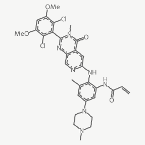 C=CC(=O)Nc1cc(N2CCN(C)CC2)cc(C)c1Nc1cc2c(=O)n(C)c(-c3c(Cl)c(OC)cc(OC)c3Cl)nc2cn1